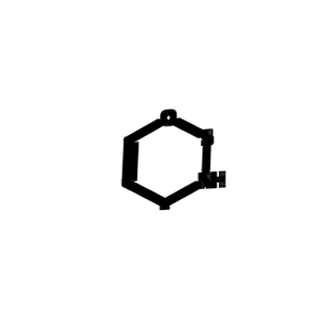 [C]1C=COSN1